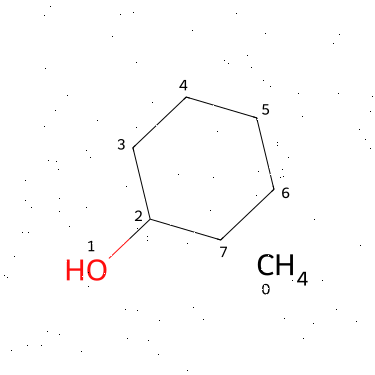 C.OC1CCCCC1